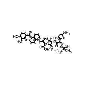 COC(=O)C1=C(C[n+]2cccc3c2CCCN3C(=O)c2ccc(O)c(O)c2Cl)CS[C@@H]2[C@H](NC(=O)/C(=N\OC(C)(C)C(=O)O)c3csc(N)n3)C(=O)N12